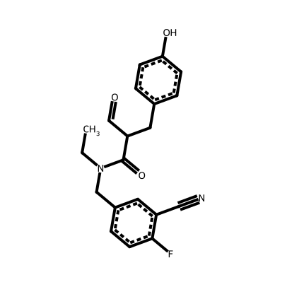 CCN(Cc1ccc(F)c(C#N)c1)C(=O)C(C=O)Cc1ccc(O)cc1